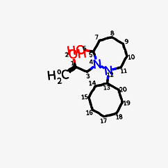 C=C(O)CN1C(O)CCCCCN1C1CCCCCCC1